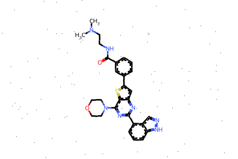 CN(C)CCNC(=O)c1cccc(-c2cc3nc(-c4cccc5[nH]ncc45)nc(N4CCOCC4)c3s2)c1